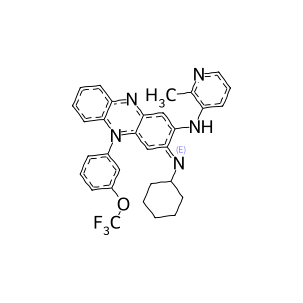 Cc1ncccc1Nc1cc2nc3ccccc3n(-c3cccc(OC(F)(F)F)c3)c-2c/c1=N\C1CCCCC1